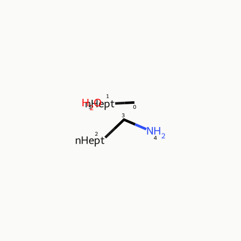 CCCCCCCC.CCCCCCCCN.O